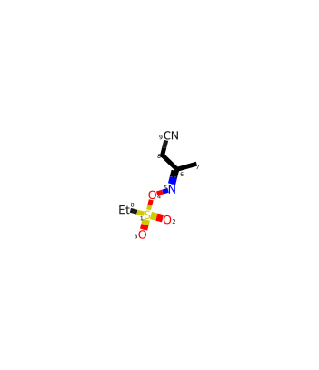 CCS(=O)(=O)ON=C(C)CC#N